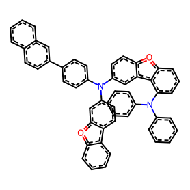 c1ccc(N(c2ccccc2)c2cccc3oc4ccc(N(c5ccc(-c6ccc7ccccc7c6)cc5)c5ccc6c(c5)oc5ccccc56)cc4c23)cc1